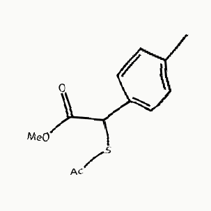 COC(=O)C(SC(C)=O)c1ccc(C)cc1